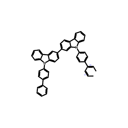 C/C=C\C(=C/C)c1ccc(-n2c3ccccc3c3ccc(-c4ccc5c(c4)c4ccccc4n5-c4ccc(-c5ccccc5)cc4)cc32)cc1